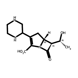 C[C@@H](O)[C@H]1C(=O)N2C(C(=O)O)=C(C3CNCCN3)C[C@H]12